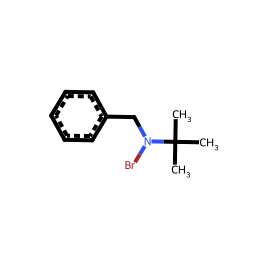 CC(C)(C)N(Br)Cc1ccccc1